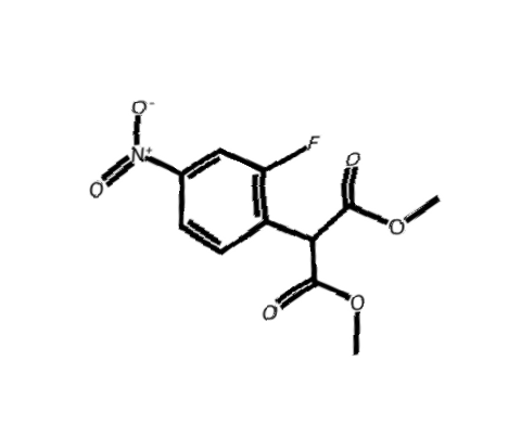 COC(=O)C(C(=O)OC)c1ccc([N+](=O)[O-])cc1F